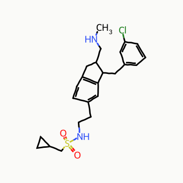 CNCC1Cc2ccc(CCNS(=O)(=O)CC3CC3)cc2C1Cc1cccc(Cl)c1